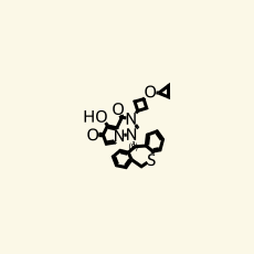 O=C1c2c(O)c(=O)ccn2N([C@H]2c3ccccc3CSc3ccccc32)CN1C1CC(OC2CC2)C1